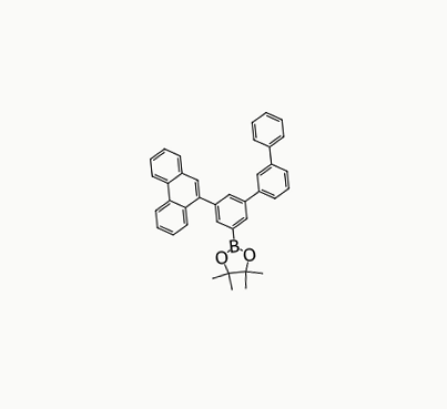 CC1(C)OB(c2cc(-c3cccc(-c4ccccc4)c3)cc(-c3cc4ccccc4c4ccccc34)c2)OC1(C)C